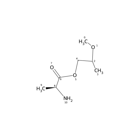 COC(C)COC(=O)[C@H](C)N